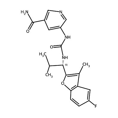 Cc1c([C@@H](NC(=O)Nc2cncc(C(N)=O)c2)C(C)C)oc2ccc(F)cc12